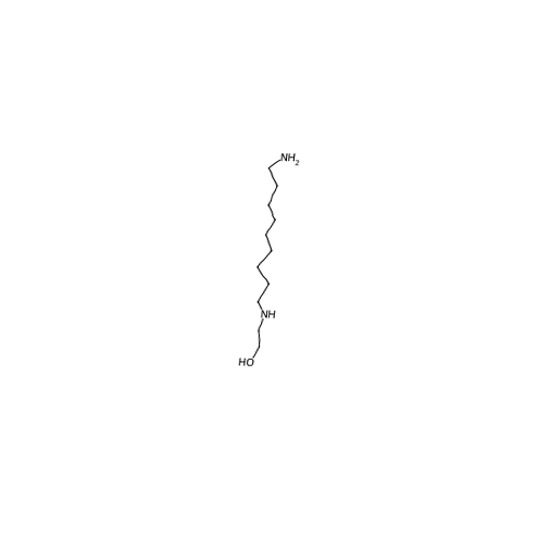 NCCCCCCCCCNCCO